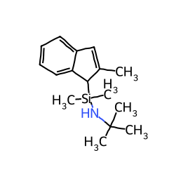 CC1=Cc2ccccc2C1[Si](C)(C)NC(C)(C)C